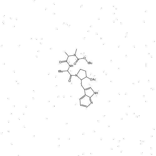 CC(=O)OC1CCN(C(=O)C(NC(=O)C(C)N(C)C(=O)OC(C)(C)C)C(C)(C)C)C1Cc1c[nH]c2ncccc12